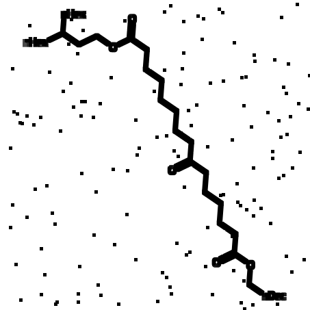 CCCCCCCCCCCOC(=O)CCCCCC(=O)CCCCCCCC(=O)OCCC(CCCCCC)CCCCCC